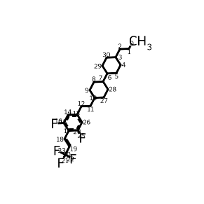 CCCC1CCC(C2CCC(CCc3cc(F)c(/C=C/C(F)(F)F)c(F)c3)CC2)CC1